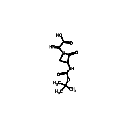 CC(C)(C)OC(=O)NC1CN(C(=N)C(=O)O)C1=O